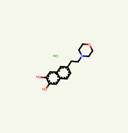 Cl.Oc1cc2ccc(CCN3CCOCC3)cc2cc1O